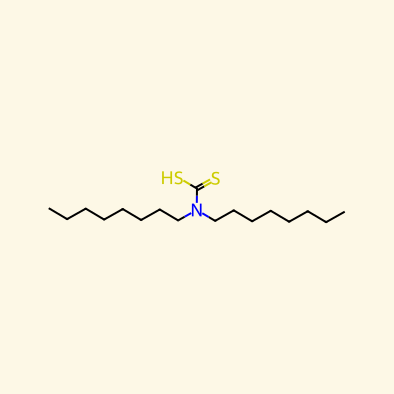 CCCCCCCCN(CCCCCCCC)C(=S)S